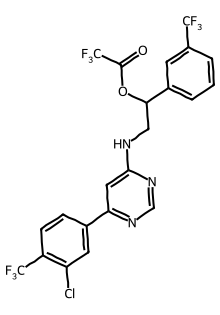 O=C(OC(CNc1cc(-c2ccc(C(F)(F)F)c(Cl)c2)ncn1)c1cccc(C(F)(F)F)c1)C(F)(F)F